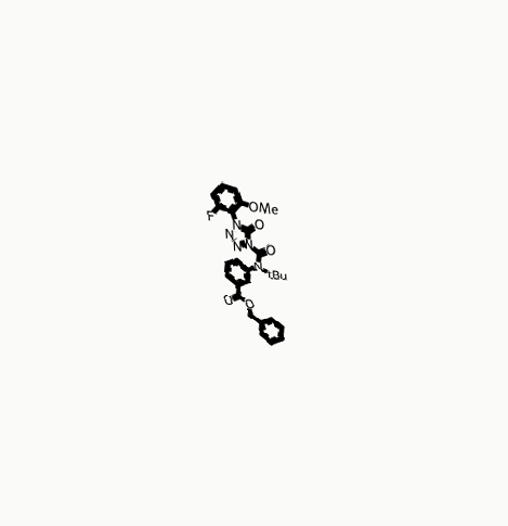 COc1cccc(F)c1-n1nnn(C(=O)N(c2cccc(C(=O)OCc3ccccc3)c2)C(C)(C)C)c1=O